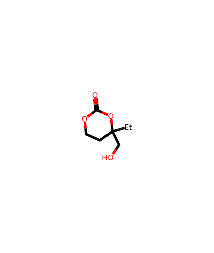 CCC1(CO)CCOC(=O)O1